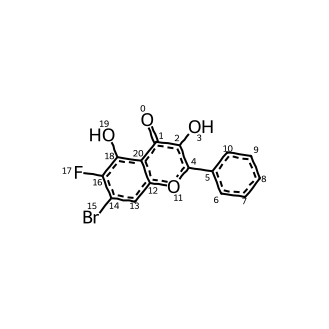 O=c1c(O)c(-c2ccccc2)oc2cc(Br)c(F)c(O)c12